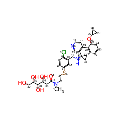 CN(CCSc1ccc(Cl)c(CNC2(c3cnccc3-c3ccccc3OC3CC3)CC2)c1)C(=O)CC(O)C(O)C(O)CO